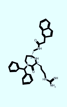 N=C(N)NCCC[C@@H]1N[C@@H](CNC(=O)Cc2ccc3ccccc3c2)CCN(C(c2ccccc2)c2ccccc2)C1=O